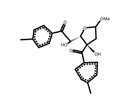 COC1C[C@](O)(C(=O)c2ccc(C)cc2)[C@H](C(O)C(=O)c2ccc(C)cc2)O1